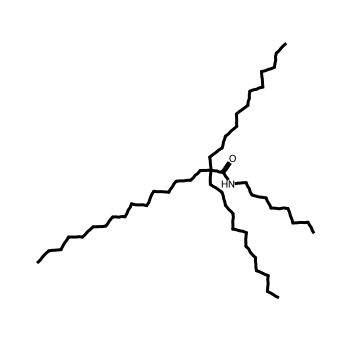 CCCCCCCCCCCCCCCCC(CCCCCCCCCCCC)(CCCCCCCCCCCC)C(=O)NCCCCCCCC